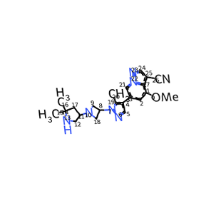 COc1cc(-c2cnn(C3CN(C4CNC(C)(C)C4)C3)c2C)cn2ncc(C#N)c12